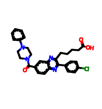 O=C(O)CCCCc1nc2cc(C(=O)N3CCN(c4ccccc4)CC3)ccc2nc1-c1ccc(Cl)cc1